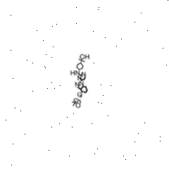 CC1(C)OC[C@@H](COc2cccc3c2cnn3-c2ccnc(N[C@H]3CC[C@H](C(C)(C)O)CC3)n2)O1